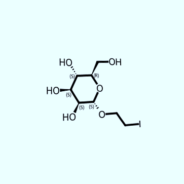 OC[C@H]1O[C@H](OCCI)[C@@H](O)[C@@H](O)[C@@H]1O